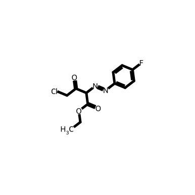 CCOC(=O)C(N=Nc1ccc(F)cc1)C(=O)CCl